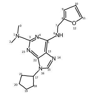 CN(C)c1nc(NCc2ccco2)c2ncn(C3CCCC3)c2n1